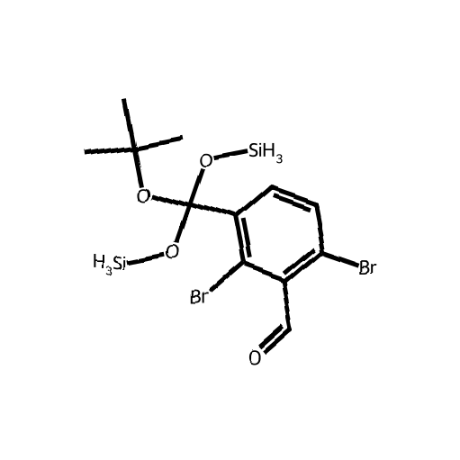 CC(C)(C)OC(O[SiH3])(O[SiH3])c1ccc(Br)c(C=O)c1Br